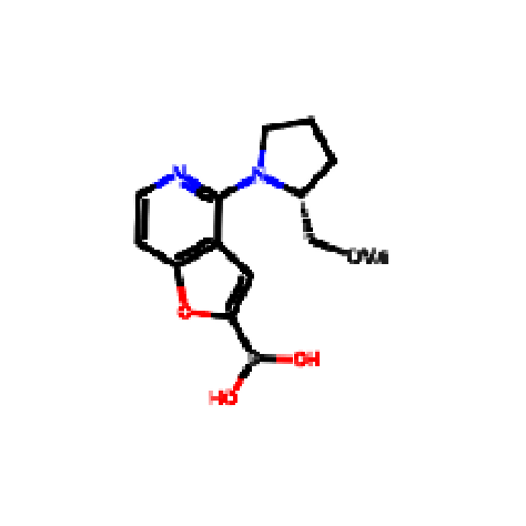 COC[C@H]1CCCN1c1nccc2oc(B(O)O)cc12